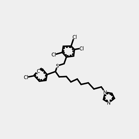 Clc1ccc(C(CCCCCCCCn2ccnc2)SCc2cc(Cl)c(Cl)cc2Cl)cc1